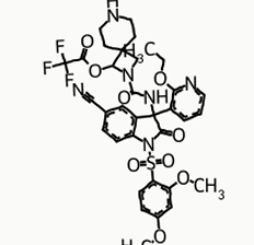 CCOc1ncccc1C1(NC(=O)N2CC3(CCNCC3)C2OC(=O)C(F)(F)F)C(=O)N(S(=O)(=O)c2ccc(OC)cc2OC)c2ccc(C#N)cc21